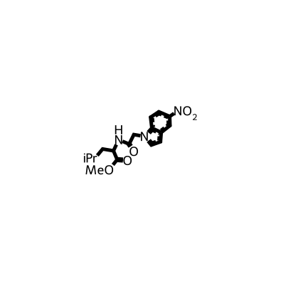 COC(=O)C(CC(C)C)NC(=O)Cn1ccc2cc([N+](=O)[O-])ccc21